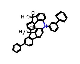 CC1(C)c2cc(-c3ccccc3)ccc2-c2ccc(N(c3cccc(-c4ccccc4)c3)c3cccc4c3-c3ccccc3C4(C)C)cc21